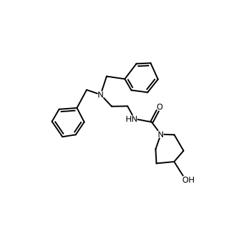 O=C(NCCN(Cc1ccccc1)Cc1ccccc1)N1CCC(O)CC1